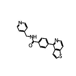 O=C(NCc1ccncc1)c1ccc(-c2nccc3sccc23)cc1